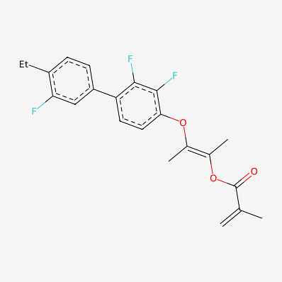 C=C(C)C(=O)O/C(C)=C(\C)Oc1ccc(-c2ccc(CC)c(F)c2)c(F)c1F